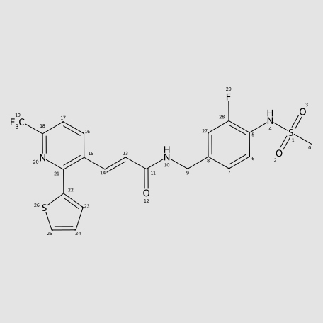 CS(=O)(=O)Nc1ccc(CNC(=O)C=Cc2ccc(C(F)(F)F)nc2-c2cccs2)cc1F